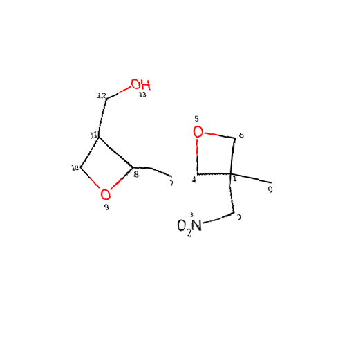 CC1(C[N+](=O)[O-])COC1.CC1OCC1CO